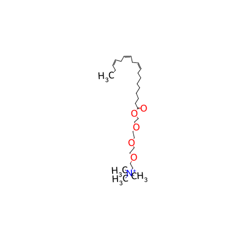 CC/C=C\C/C=C\C/C=C\CCCCCCCC(=O)OCCOCCOCCOCC[N+](C)(C)C